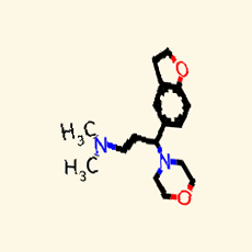 CN(C)CCC(c1ccc2c(c1)CCO2)N1CCOCC1